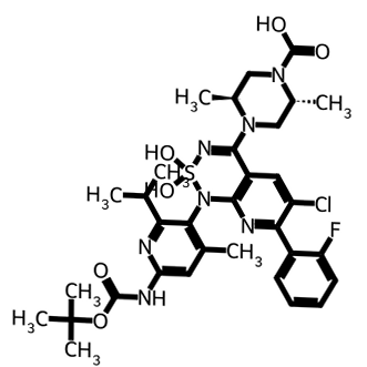 Cc1cc(NC(=O)OC(C)(C)C)nc(C(C)C)c1N1c2nc(-c3ccccc3F)c(Cl)cc2C(N2C[C@@H](C)N(C(=O)O)C[C@@H]2C)=NS1(O)O